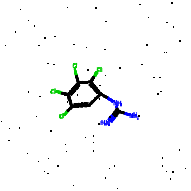 N=C(N)Nc1cc(Cl)c(Cl)c(Cl)c1Cl